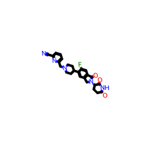 N#Cc1cccc(CN2CCC(c3cc4c(cc3F)C(=O)N(C3CCC(=O)NC3=O)C4)CC2)n1